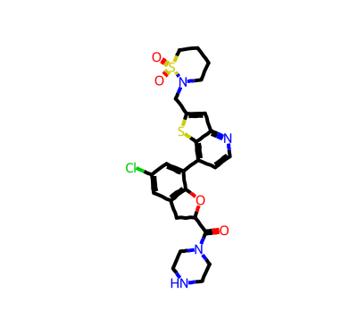 O=C(C1Cc2cc(Cl)cc(-c3ccnc4cc(CN5CCCCS5(=O)=O)sc34)c2O1)N1CCNCC1